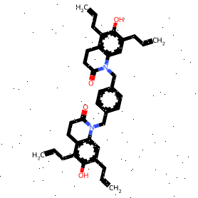 C=CCc1cc2c(c(CC=C)c1O)CCC(=O)N2Cc1ccc(CN2C(=O)CCc3c2cc(CC=C)c(O)c3CC=C)cc1